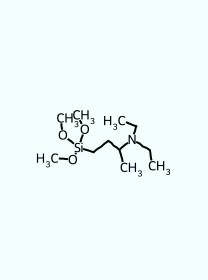 CCN(CC)C(C)CC[Si](OC)(OC)OC